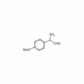 COc1ccc(C(C)[C]=O)cc1